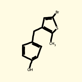 Cc1sc(Br)cc1Cc1ccc(O)cc1